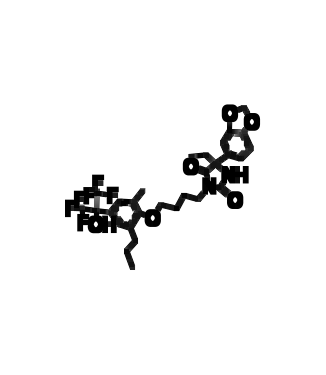 CCCc1cc(C(O)(C(F)(F)F)C(F)(F)F)cc(C)c1OCCCCN1C(=O)NC(CC)(c2ccc3c(c2)OCO3)C1=O